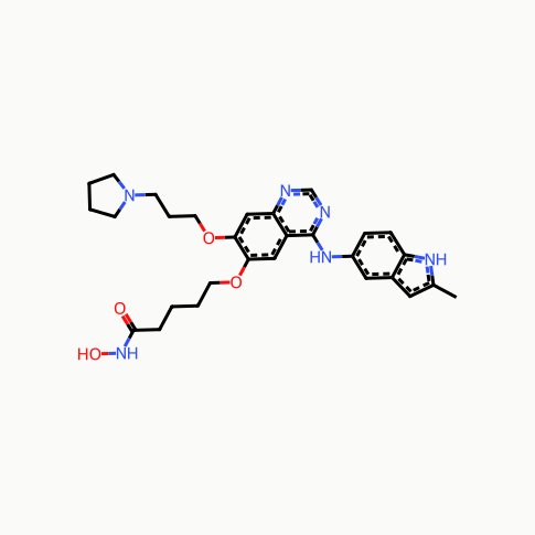 Cc1cc2cc(Nc3ncnc4cc(OCCCN5CCCC5)c(OCCCCC(=O)NO)cc34)ccc2[nH]1